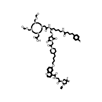 C#C[C@H]1CC(F)(F)CN1C(=O)CNC(=O)c1ccnc2ccc(OCCCCC3CCN(C(=O)CN4C(=O)CC(SC[C@H](CCCCNC(=O)CCCc5ccc(I)cc5)NC(=O)CN5CCN(COC=O)CCN(COC=O)CCN(CC(=O)O)CC5)C4=O)CC3)cc12